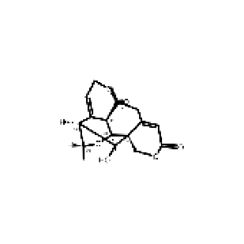 C[C@H]1O[C@H]2[C@]34C(=O)OCC=C3[C@H]1C(O)[C@]21COC(=O)C=C1C[C@@H]4C